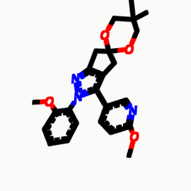 COc1ccc(-c2c3c(nn2-c2ccccc2OC)CC2(C3)OCC(C)(C)CO2)cn1